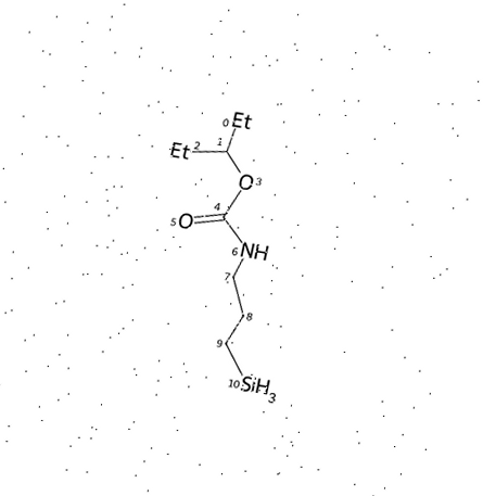 CCC(CC)OC(=O)NCCC[SiH3]